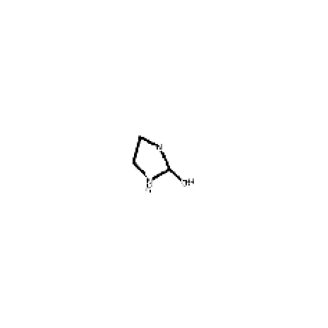 OC1[N]CCN1